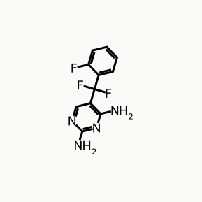 Nc1ncc(C(F)(F)c2ccccc2F)c(N)n1